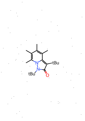 Cc1c(C)c(C)n2c(c1C)c(C(C)(C)C)c(=O)n2C(C)(C)C